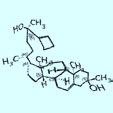 C[C@H](CC[C@@](C)(O)C1CCC1)[C@H]1CC[C@H]2[C@@H]3CC=C4C[C@@](C)(O)CC[C@]4(C)[C@H]3CC[C@]12C